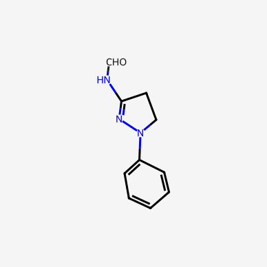 O=CNC1=NN(c2ccccc2)CC1